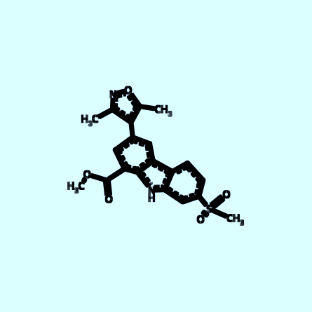 COC(=O)c1cc(-c2c(C)noc2C)cc2c1[nH]c1cc(S(C)(=O)=O)ccc12